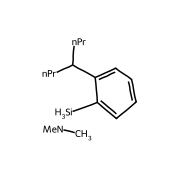 CCCC(CCC)c1ccccc1[SiH3].CNC